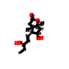 CC[C@H](O)/C=C/[C@@H]1[C@H]2CC(=O)O[C@H]2C[C@H]1O